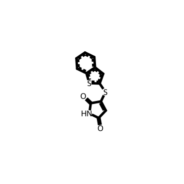 O=C1C=C(Sc2cc3ccccc3s2)C(=O)N1